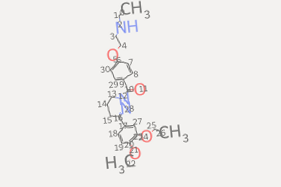 CCNCCOc1ccc(C(=O)N2CCCC(c3ccc(OC)c(OCC)c3)=N2)cc1